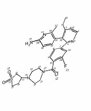 CCc1ncnc(-c2ccc(C(=O)N3CCN(C4CCS(=O)(=O)C4)CC3)c(F)c2)c1-c1ccc(N)nc1C